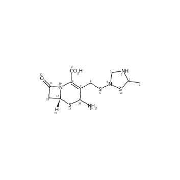 CC1NCN(SCC2=C(C(=O)O)N3C(=O)C[C@H]3SC2N)S1